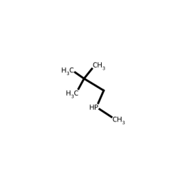 CPCC(C)(C)C